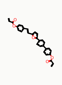 C=CC(=O)Oc1ccc(/C=C/c2ccc(-c3ccc(-c4ccc(OC(=O)C=C)cc4)cc3)o2)cc1